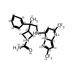 C[C@](CNc1cc(C(F)(F)F)nc2cc(C(F)(F)F)nn12)(c1ccccc1)C1CN(C(N)=O)C1